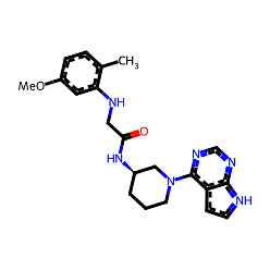 COc1ccc(C)c(NCC(=O)N[C@@H]2CCCN(c3ncnc4[nH]ccc34)C2)c1